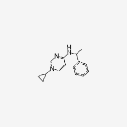 CC(NC1=NCN(C2CC2)C=C1)c1ccccc1